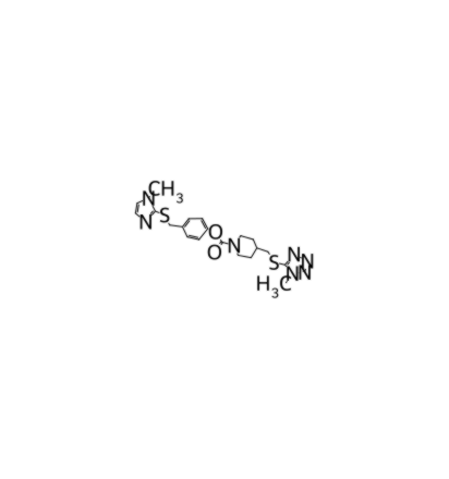 Cn1ccnc1SCc1ccc(OC(=O)N2CCC(CSc3nnnn3C)CC2)cc1